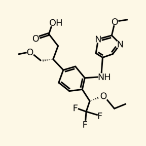 CCO[C@@H](c1ccc([C@H](COC)CC(=O)O)cc1Nc1cnc(OC)nc1)C(F)(F)F